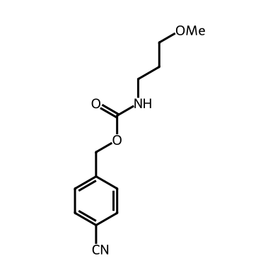 COCCCNC(=O)OCc1ccc(C#N)cc1